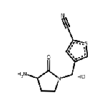 Cl.N#Cc1cc(CN2CCC(N)C2=O)cs1